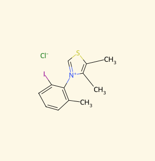 Cc1cccc(I)c1-[n+]1csc(C)c1C.[Cl-]